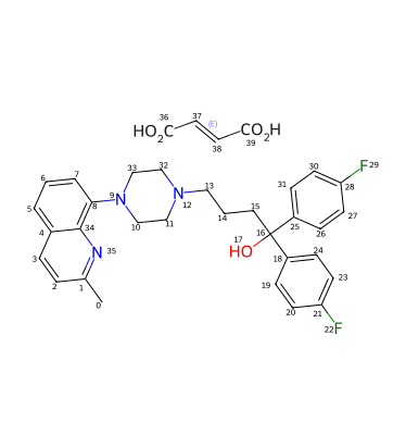 Cc1ccc2cccc(N3CCN(CCCC(O)(c4ccc(F)cc4)c4ccc(F)cc4)CC3)c2n1.O=C(O)/C=C/C(=O)O